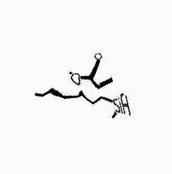 C=CC(=O)OC.CCCCCC[SiH](C)C